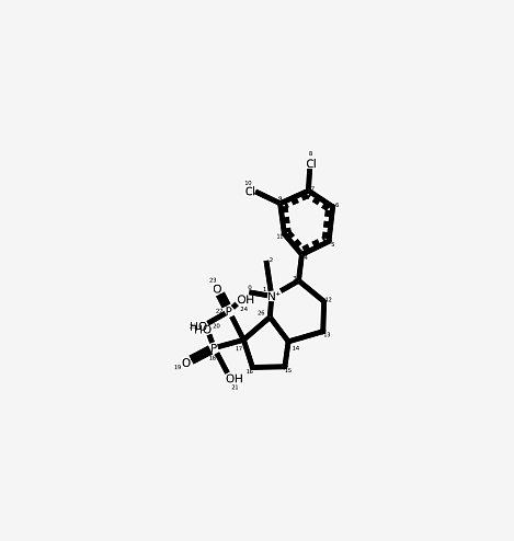 C[N+]1(C)C(c2ccc(Cl)c(Cl)c2)CCC2CCC(P(=O)(O)O)(P(=O)(O)O)C21